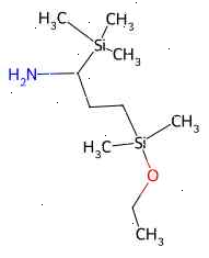 CCO[Si](C)(C)CCC(N)[Si](C)(C)C